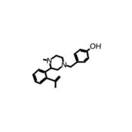 C=C(C)c1ccccc1C1CN(Cc2ccc(O)cc2)CCN1C